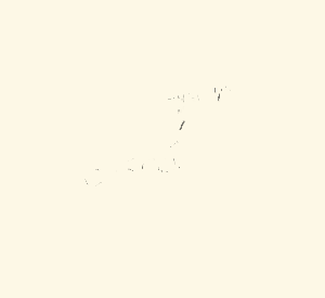 CCNC(=O)O[C@@H]1CN[C@@H](C#Cc2cc3c(Nc4ccc(OCc5cccc(F)c5)c(Cl)c4)ncnc3s2)C1